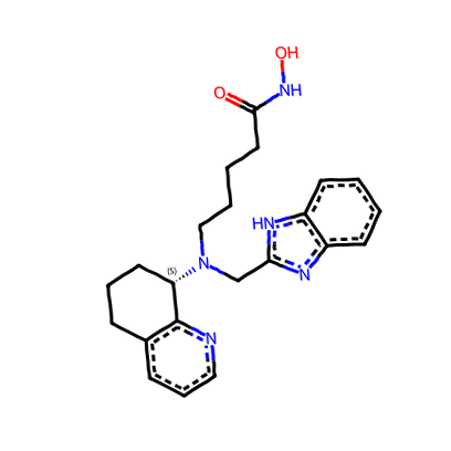 O=C(CCCCN(Cc1nc2ccccc2[nH]1)[C@H]1CCCc2cccnc21)NO